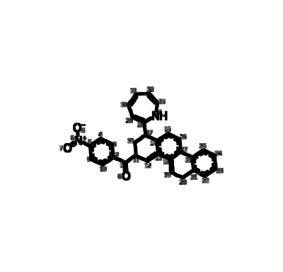 O=C(c1ccc([N+](=O)[O-])cc1)C1C=c2c(ccc3c2=CCc2ccccc2-3)C(C2=CC=CC=CN2)C1